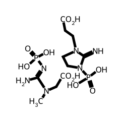 CN(CC(=O)O)C(N)=NP(=O)(O)O.N=C1N(CCC(=O)O)CCN1P(=O)(O)O